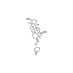 CC1(C)/C(=N/O[C@@H]2CCNC2)CC[C@]2(C)[C@H]3CC[C@]4(C)[C@@H](O)CC[C@H]4[C@@H]3CC[C@@]12O.Cl